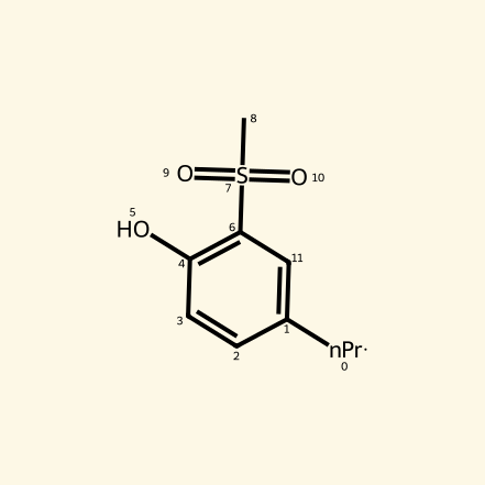 CC[CH]c1ccc(O)c(S(C)(=O)=O)c1